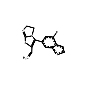 C=CC1=C(c2cc(F)c3ccsc3c2)N2CCN=C2S1